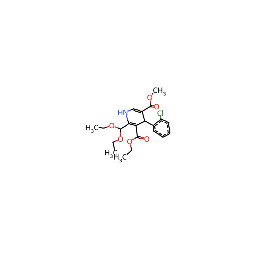 CCOC(=O)C1=C(C(OCC)OCC)NC=C(C(=O)OC)C1c1ccccc1Cl